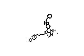 Nc1ncnn2c(CCCCN3CCC(O)CC3)cc(-c3ccc4cn(Cc5ccccc5)nc4c3)c12